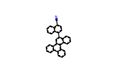 N#Cc1ccc(-c2cc3c4ccccc4c4ccccc4c3c3ccccc23)c2ccccc12